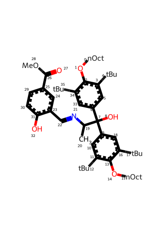 CCCCCCCCOc1c(C(C)(C)C)cc(C(O)(c2cc(C(C)(C)C)c(OCCCCCCCC)c(C(C)(C)C)c2)C(C)N=Cc2cc(C(=O)OC)ccc2O)cc1C(C)(C)C